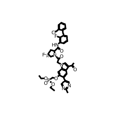 CCOP(=O)(COc1cc2c(cc1-c1cnc(C)nc1)c(C(C)=O)cn2CC(=O)N1C[C@H](F)CC1C(=O)Nc1cccc(-c2ccccc2Cl)c1F)OCC